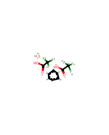 O=C(O)C(F)(F)F.O=C(O)C(F)(F)F.S.c1ccccc1